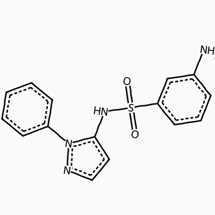 Nc1cccc(S(=O)(=O)Nc2ccnn2-c2ccccc2)c1